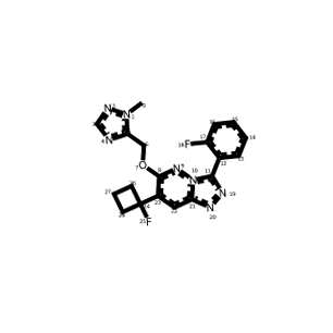 Cn1ncnc1COc1nn2c(-c3ccccc3F)nnc2cc1C1(F)CCC1